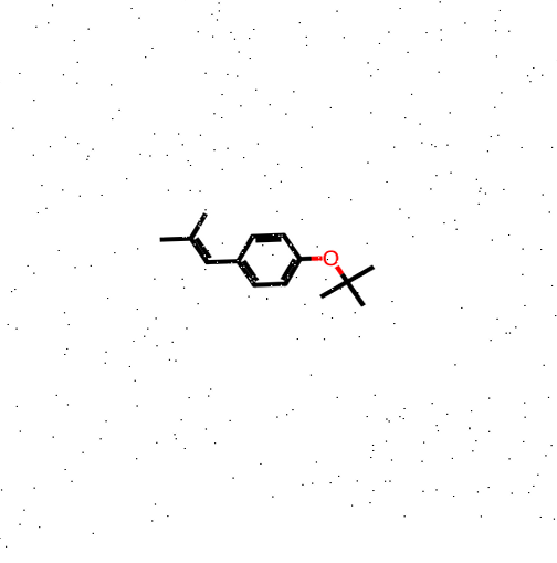 CC(C)=Cc1ccc(OC(C)(C)C)cc1